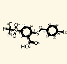 O=C(O)c1cc(S(=O)(=O)C(F)(F)F)ccc1SCc1ccc(I)cc1